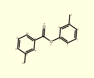 Cc1cccc(OC(=O)c2cccc(C)c2)c1